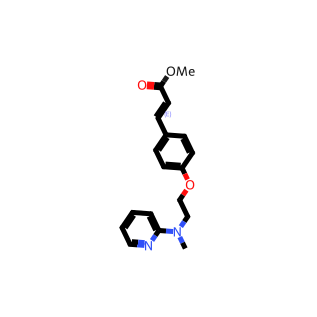 COC(=O)/C=C/c1ccc(OCCN(C)c2ccccn2)cc1